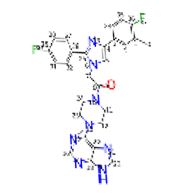 Cc1cc(-c2cn(CC(=O)N3CCN(c4ncnc5[nH]cnc45)CC3)c(-c3ccc(F)cc3)n2)ccc1F